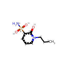 CCCn1cccc(S(N)(=O)=O)c1=O